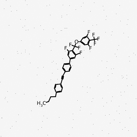 CCCCc1ccc(C#Cc2ccc(-c3cc(F)c(C(F)(F)Oc4cc(F)c(C(F)(F)F)c(F)c4)c(F)c3)cc2)cc1